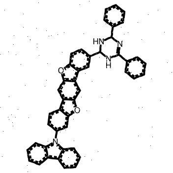 c1ccc(C2=NC(c3ccccc3)NC(c3ccc4oc5cc6c(cc5c4c3)oc3cc(-n4c5ccccc5c5ccccc54)ccc36)N2)cc1